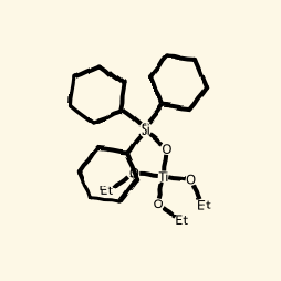 CC[O][Ti]([O]CC)([O]CC)[O][Si](C1CCCCC1)(C1CCCCC1)C1CCCCC1